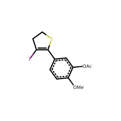 COc1ccc(C2=C(I)CCS2)cc1OC(C)=O